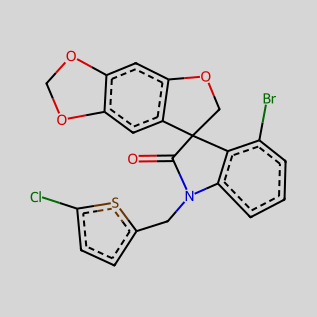 O=C1N(Cc2ccc(Cl)s2)c2cccc(Br)c2C12COc1cc3c(cc12)OCO3